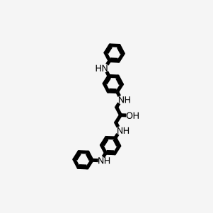 OC(CNc1ccc(Nc2ccccc2)cc1)CNc1ccc(Nc2ccccc2)cc1